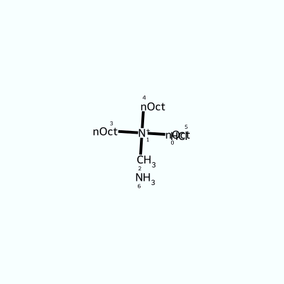 CCCCCCCC[N+](C)(CCCCCCCC)CCCCCCCC.Cl.N